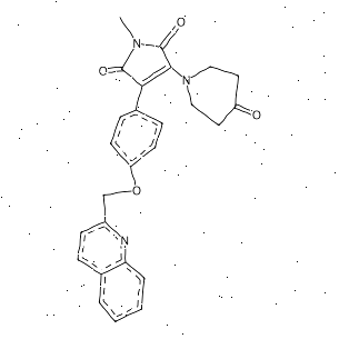 CN1C(=O)C(c2ccc(OCc3ccc4ccccc4n3)cc2)=C(N2CCC(=O)CC2)C1=O